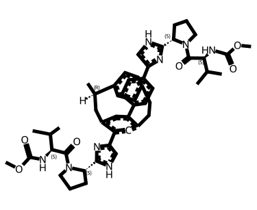 COC(=O)N[C@H](C(=O)N1CCC[C@H]1c1nc(-c2ccc(-c3cc4c(-c5c[nH]c([C@@H]6CCCN6C(=O)[C@@H](NC(=O)OC)C(C)C)n5)cc3CCc3ccc(cc3)[C@H](C)C4)cc2)c[nH]1)C(C)C